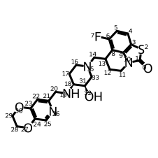 O=c1sc2ccc(F)c3c2n1CCC3CN1CC[C@H](NCc2cc3c(cn2)OCCO3)[C@H](O)C1